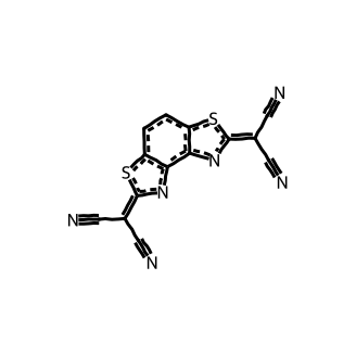 N#CC(C#N)=c1nc2c(ccc3sc(=C(C#N)C#N)nc32)s1